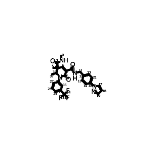 CNC(=O)C1(C)C=C(C(=O)NCc2ccc(-n3cccn3)cc2)C(=O)N(c2cccc(C(F)(F)F)c2)C1C